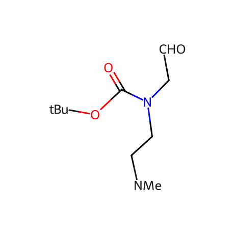 CNCCN(CC=O)C(=O)OC(C)(C)C